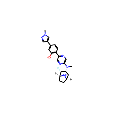 CN(c1cnc(-c2ccc(-c3cnn(C)c3)cc2O)cn1)[C@@H]1C[C@H]2CC[C@H](N2)[C@@H]1F